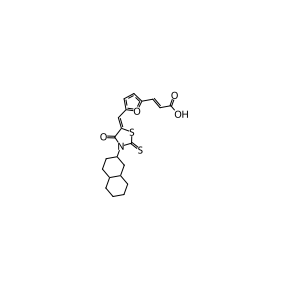 O=C(O)C=Cc1ccc(C=C2SC(=S)N(C3CCC4CCCCC4C3)C2=O)o1